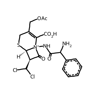 CC(=O)OCC1=C(C(=O)O)[N+]2(NC(=O)C(N)c3ccccc3)C(=O)[C@@H](C(Cl)Cl)[C@H]2SC1